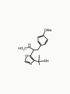 COc1ccc(CC(NC(=O)O)c2ocnc2C(C)(C)O)cc1